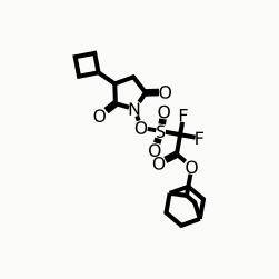 O=C1CC(C2CCC2)C(=O)N1OS(=O)(=O)C(F)(F)C(=O)OC1CC2CCC1CC2